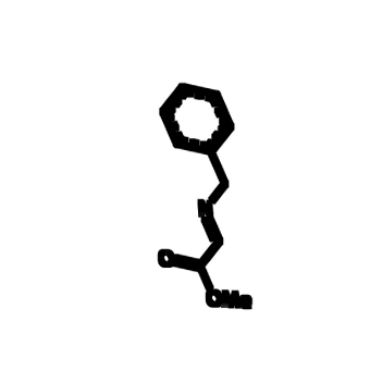 COC(=O)C=NCc1ccccc1